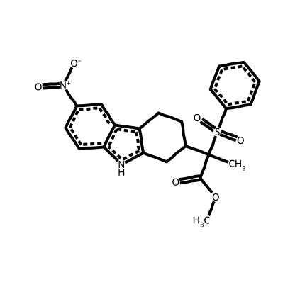 COC(=O)C(C)(C1CCc2c([nH]c3ccc([N+](=O)[O-])cc23)C1)S(=O)(=O)c1ccccc1